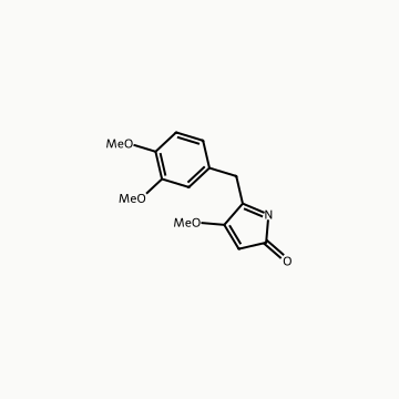 COC1=CC(=O)N=C1Cc1ccc(OC)c(OC)c1